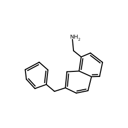 NCc1cccc2ccc(Cc3ccccc3)cc12